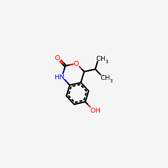 CC(C)C1OC(=O)Nc2ccc(O)cc21